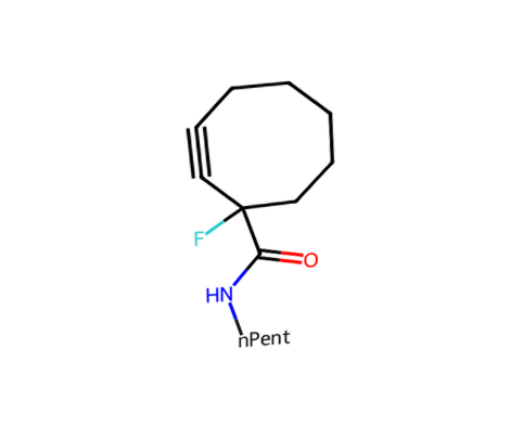 CCCCCNC(=O)C1(F)C#CCCCCC1